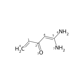 C=CC(=O)C=C(N)N